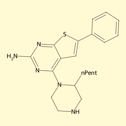 CCCCCC1CNCCN1c1nc(N)nc2sc(-c3ccccc3)cc12